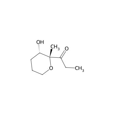 CCC(=O)[C@]1(C)OCCC[C@@H]1O